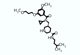 COCCCOc1cc(OC)cc(C(=O)N(C[C@@H]2CNC[C@@H](C(=O)NCCC(C)C)C2)C2CC2)c1